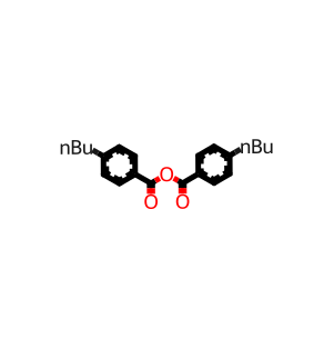 CCCCc1ccc(C(=O)OC(=O)c2ccc(CCCC)cc2)cc1